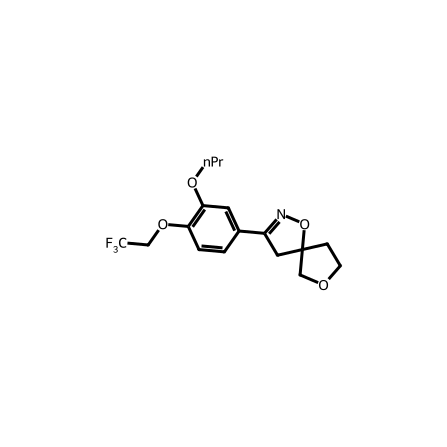 CCCOc1cc(C2=NOC3(CCOC3)C2)ccc1OCC(F)(F)F